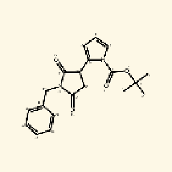 CC(C)(C)OC(=O)n1cccc1C1CC(=O)N(Cc2ccccc2)C1=O